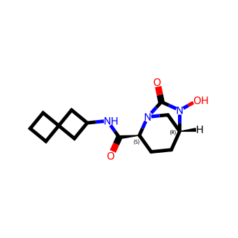 O=C(NC1CC2(CCC2)C1)[C@@H]1CC[C@@H]2CN1C(=O)N2O